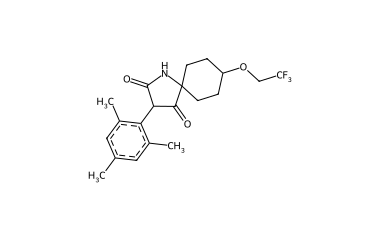 Cc1cc(C)c(C2C(=O)NC3(CCC(OCC(F)(F)F)CC3)C2=O)c(C)c1